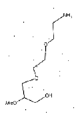 COC(CO)COCCOCCN